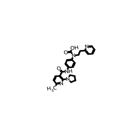 Cc1ccc(C(=O)Nc2ccc(N(CCc3ccccn3)C(=O)O)cc2)c(N2CCCC2)n1